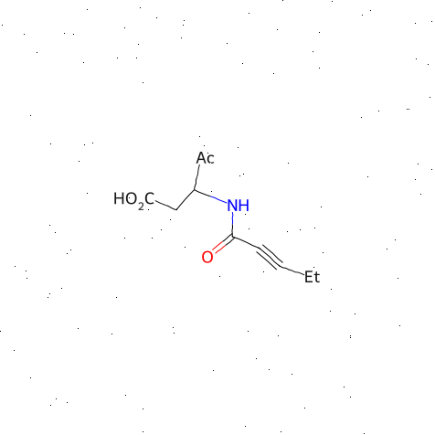 CCC#CC(=O)NC(CC(=O)O)C(C)=O